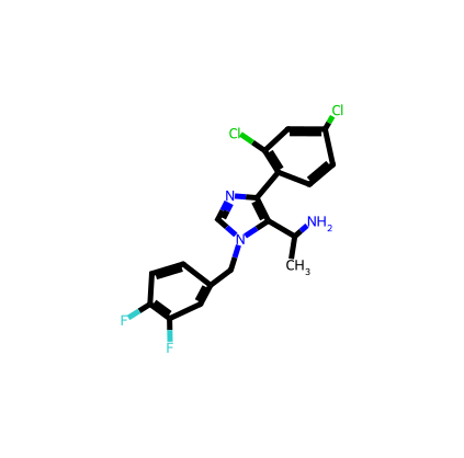 CC(N)c1c(-c2ccc(Cl)cc2Cl)ncn1Cc1ccc(F)c(F)c1